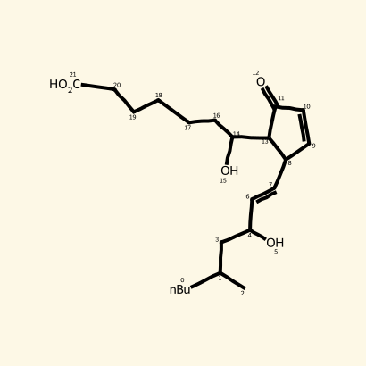 CCCCC(C)CC(O)/C=C/C1C=CC(=O)C1C(O)CCCCCC(=O)O